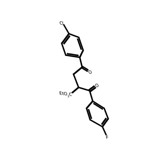 CCOC(=O)C(CC(=O)c1ccc(Cl)cc1)C(=O)c1ccc(F)cc1